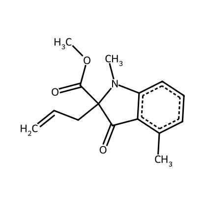 C=CCC1(C(=O)OC)C(=O)c2c(C)cccc2N1C